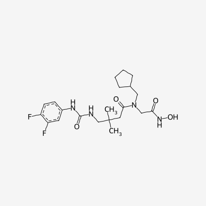 CC(C)(CNC(=O)Nc1ccc(F)c(F)c1)CC(=O)N(CC(=O)NO)CC1CCCC1